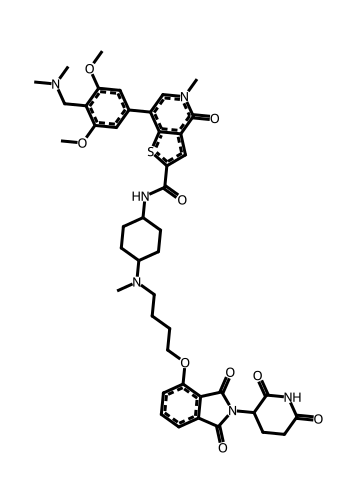 COc1cc(-c2cn(C)c(=O)c3cc(C(=O)NC4CCC(N(C)CCCCOc5cccc6c5C(=O)N(C5CCC(=O)NC5=O)C6=O)CC4)sc23)cc(OC)c1CN(C)C